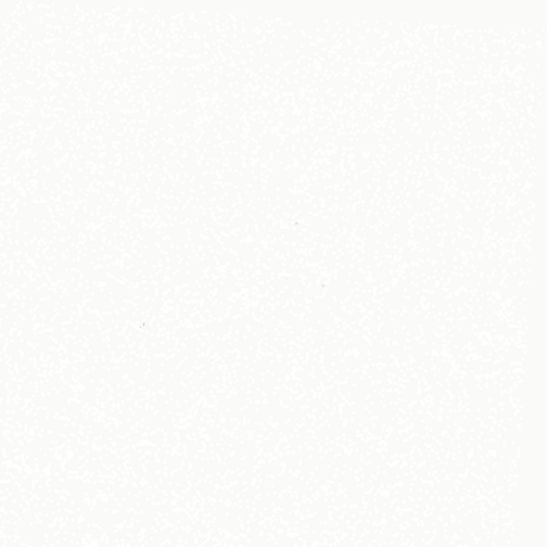 COP(=O)(CC(=O)COc1ccc(Cl)c(Cl)c1)OC